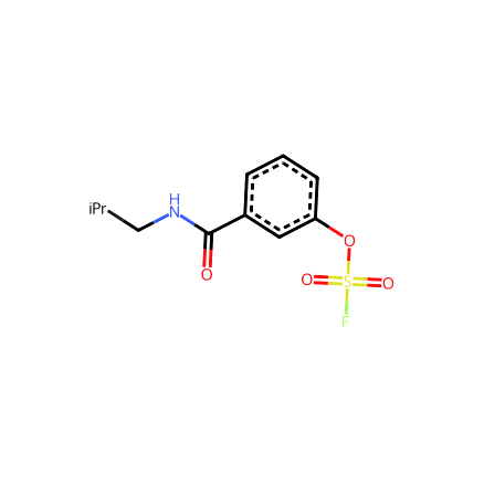 CC(C)CNC(=O)c1cccc(OS(=O)(=O)F)c1